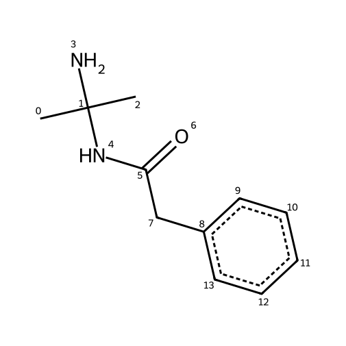 CC(C)(N)NC(=O)Cc1ccccc1